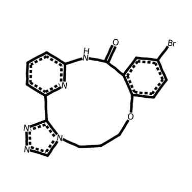 O=C1Nc2cccc(n2)-c2nncn2CCCOc2ccc(Br)cc21